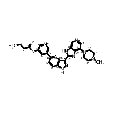 CCCC(=O)Nc1cncc(-c2ccc3[nH]nc(-c4nc5c(N6CCN(C)CC6)cncc5[nH]4)c3n2)c1